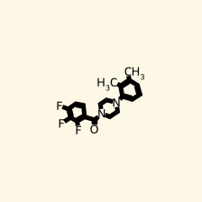 Cc1cccc(N2CCN(C(=O)c3ccc(F)c(F)c3F)CC2)c1C